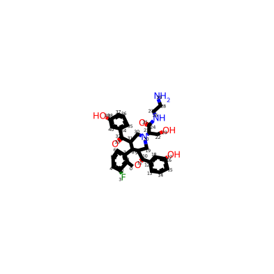 Cc1c(F)cccc1C1C(C(=O)c2cccc(O)c2)CN(C(CO)C(=O)NCCN)CC1C(=O)c1cccc(O)c1